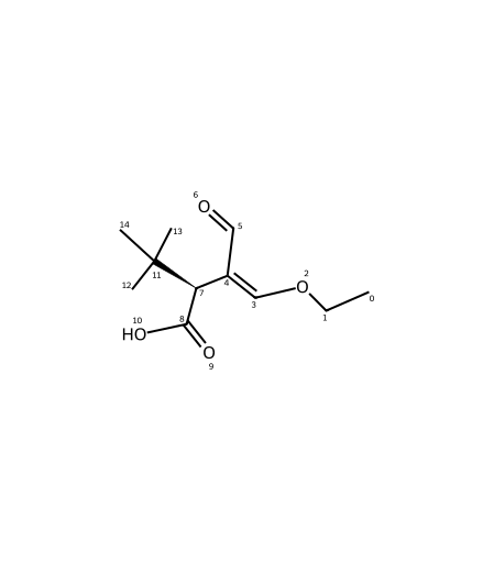 CCOC=C(C=O)[C@@H](C(=O)O)C(C)(C)C